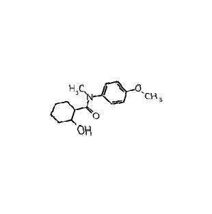 COc1ccc(N(C)C(=O)C2CCCCC2O)cc1